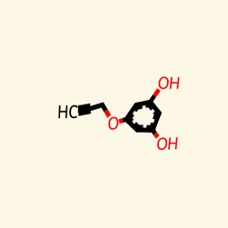 C#CCOc1cc(O)cc(O)c1